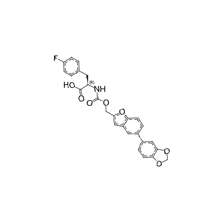 O=C(N[C@H](Cc1ccc(F)cc1)C(=O)O)OCc1cc2cc(-c3ccc4c(c3)OCO4)ccc2o1